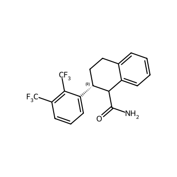 NC(=O)C1c2ccccc2CC[C@H]1c1cccc(C(F)(F)F)c1C(F)(F)F